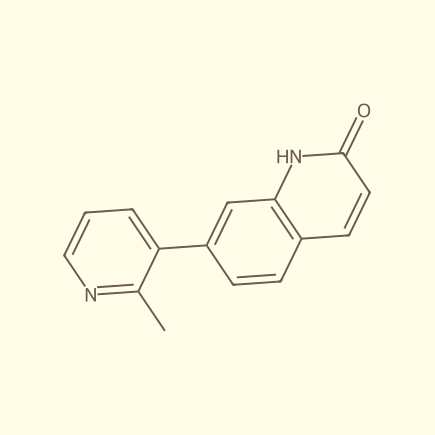 Cc1ncccc1-c1ccc2ccc(=O)[nH]c2c1